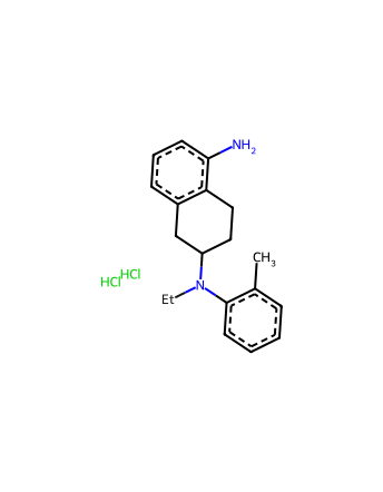 CCN(c1ccccc1C)C1CCc2c(N)cccc2C1.Cl.Cl